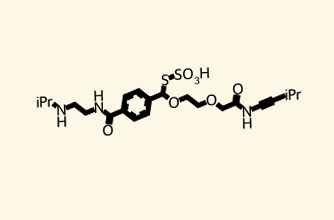 CC(C)C#CNC(=O)COCCOC(SS(=O)(=O)O)c1ccc(C(=O)NCCNC(C)C)cc1